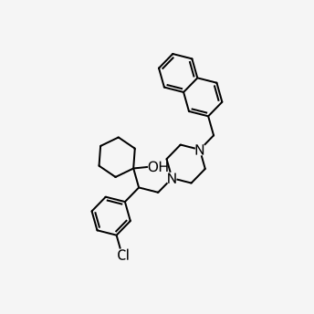 OC1(C(CN2CCN(Cc3ccc4ccccc4c3)CC2)c2cccc(Cl)c2)CCCCC1